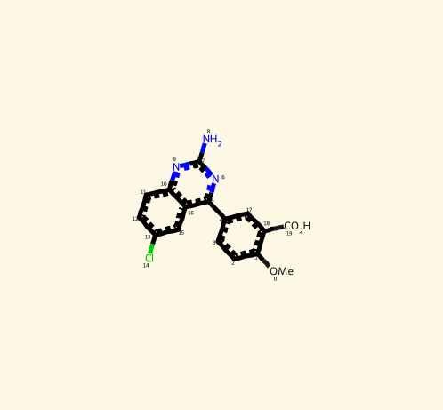 COc1ccc(-c2nc(N)nc3ccc(Cl)cc23)cc1C(=O)O